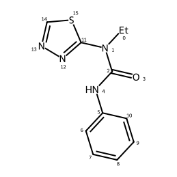 CCN(C(=O)Nc1ccccc1)c1nncs1